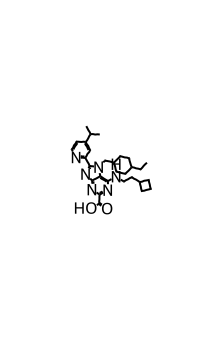 CCC1CCC(Cn2c(-c3cc(C(C)C)ccn3)nc3nc(C(=O)O)nc(NCCC4CCC4)c32)CC1